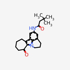 CC(C)(C)CC(=O)Nc1cc2c3c(c1)c1c(n3CCC2)C(=O)CCCC1